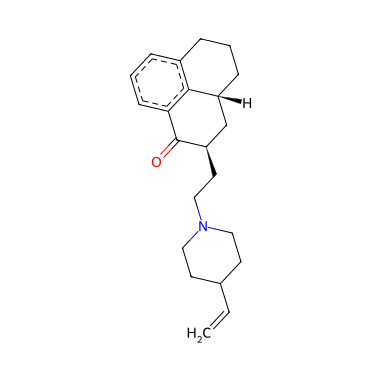 C=CC1CCN(CC[C@@H]2C[C@H]3CCCc4cccc(c43)C2=O)CC1